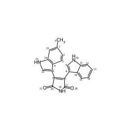 Cc1ccc2c(C3=C(c4c[nH]c5ccccc45)C(=O)NC3=O)c[nH]c2c1